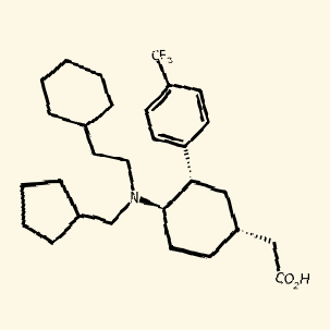 O=C(O)C[C@@H]1CC[C@@H](N(CCC2CCCCC2)CC2CCCC2)[C@H](c2ccc(C(F)(F)F)cc2)C1